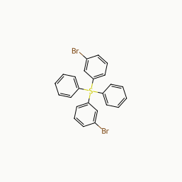 Brc1cccc(S(c2ccccc2)(c2ccccc2)c2cccc(Br)c2)c1